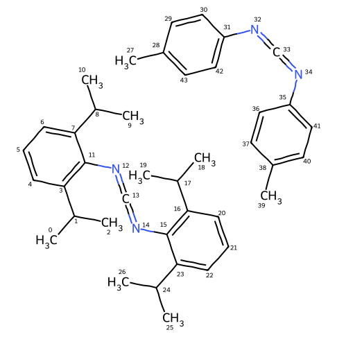 CC(C)c1cccc(C(C)C)c1N=C=Nc1c(C(C)C)cccc1C(C)C.Cc1ccc(N=C=Nc2ccc(C)cc2)cc1